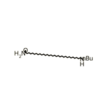 CCCCNCCCCCCCCCCCCCCCCCCCCCCCCCCCCCCC(N)=O